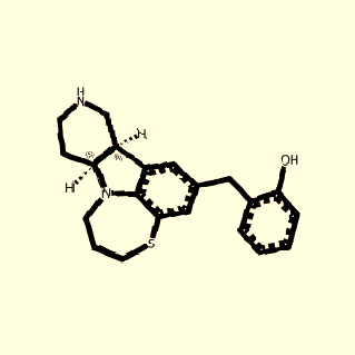 Oc1ccccc1Cc1cc2c3c(c1)[C@@H]1CNCC[C@@H]1N3CCCS2